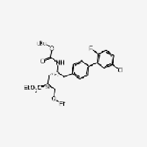 CCOC[C@H](C[C@@H](Cc1ccc(-c2cc(Cl)ccc2F)cc1)NC(=O)OC(C)(C)C)C(=O)OCC